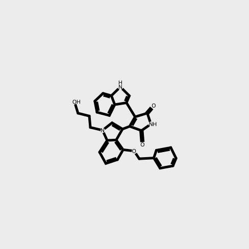 O=C1NC(=O)C(c2cn(CCCO)c3cccc(OCc4ccccc4)c23)=C1c1c[nH]c2ccccc12